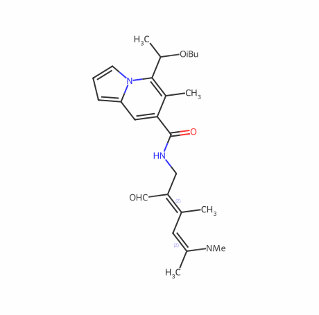 CN/C(C)=C\C(C)=C(/C=O)CNC(=O)c1cc2cccn2c(C(C)OCC(C)C)c1C